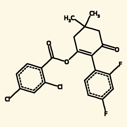 CC1(C)CC(=O)C(c2ccc(F)cc2F)=C(OC(=O)c2ccc(Cl)cc2Cl)C1